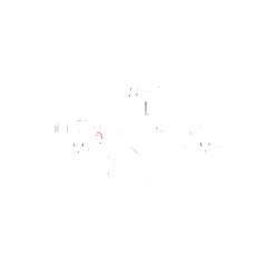 COC(=O)C1C(=O)C2=C(CC1C)NC(C)=C(C(=O)OC(C)C)C2c1ccccc1OC